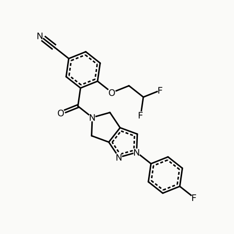 N#Cc1ccc(OCC(F)F)c(C(=O)N2Cc3cn(-c4ccc(F)cc4)nc3C2)c1